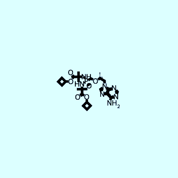 C[C@H](Cn1cnc2c(N)ncnc21)OCP(=O)(NC(C)(C)C(=O)OC1CCC1)NC(C)(C)C(=O)OC1CCC1